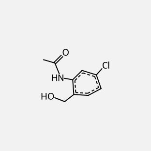 CC(=O)Nc1cc(Cl)ccc1CO